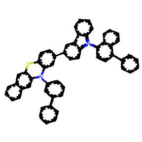 c1ccc(-c2cccc(N3c4cc(-c5ccc6c(c5)c5ccccc5n6-c5ccc(-c6ccccc6)c6ccccc56)ccc4Sc4cc5ccccc5cc43)c2)cc1